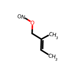 C/C=C(\C)CON=O